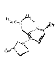 CC(C)c1ccc(N2CC[C@@H](O)C2)c(CN(C)C)n1